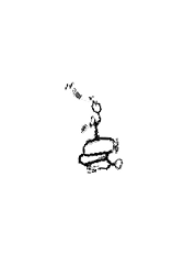 CN1CCC(CC(=O)C2C=NN=c3c4c(ccc3=C2)SCC4=O)CC1